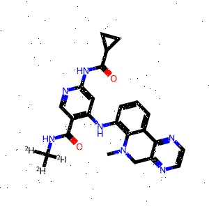 [2H]C([2H])([2H])NC(=O)c1cnc(NC(=O)C2CC2)cc1Nc1cccc2c1N(C)Cc1nccnc1-2